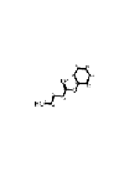 O=C(CCCO)OC1CCCCC1